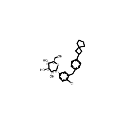 OC[C@H]1O[C@H](c2ccc(Cl)c(Cc3ccc(C4CC5(CCCC5)C4)cc3)c2)[C@H](O)[C@@H](O)[C@@H]1O